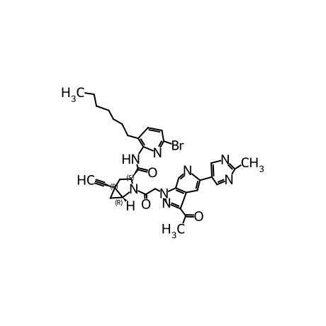 C#C[C@@]12C[C@@H](C(=O)Nc3nc(Br)ccc3CCCCCCC)N(C(=O)Cn3nc(C(C)=O)c4cc(-c5cnc(C)nc5)ncc43)[C@@H]1C2